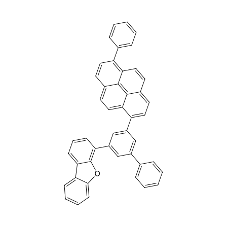 c1ccc(-c2cc(-c3ccc4ccc5c(-c6ccccc6)ccc6ccc3c4c65)cc(-c3cccc4c3oc3ccccc34)c2)cc1